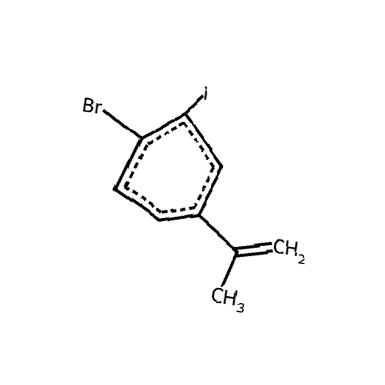 C=C(C)c1ccc(Br)c(I)c1